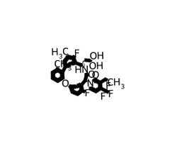 CCc1c(C(F)(F)F)ccn([C@H]2C(=O)N[C@@H](CC(O)O)c3cc(cc(C)c3F)-c3c(C)cccc3Oc3ccc(F)c2c3)c1=O